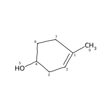 CC1=CCC(O)CC1